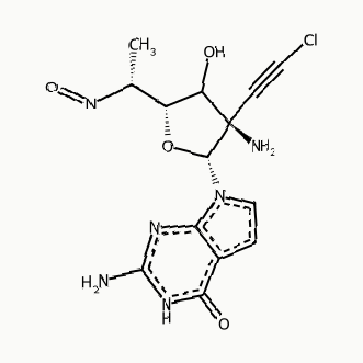 C[C@@H](N=O)[C@H]1O[C@@H](n2ccc3c(=O)[nH]c(N)nc32)[C@@](N)(C#CCl)C1O